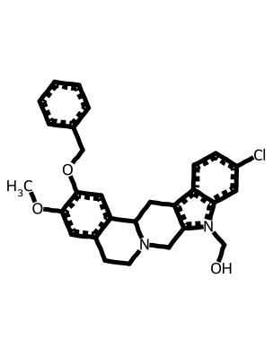 COc1cc2c(cc1OCc1ccccc1)C1Cc3c(n(CO)c4cc(Cl)ccc34)CN1CC2